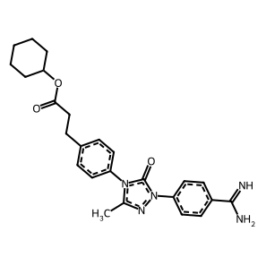 Cc1nn(-c2ccc(C(=N)N)cc2)c(=O)n1-c1ccc(CCC(=O)OC2CCCCC2)cc1